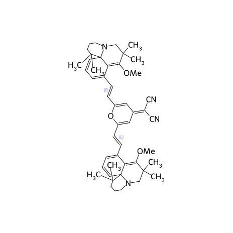 COC1=C2C(/C=C/C3=CC(=C(C#N)C#N)C=C(/C=C/C4=CC=CC56C4=C(OC)C(C)(C)CN5CCCC6(C)C)O3)=CC=CC23N(CCCC3(C)C)CC1(C)C